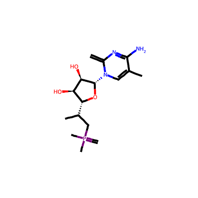 C=C1N=C(N)C(C)=CN1[C@@H]1O[C@H](C(C)CP(=C)(C)C)[C@@H](O)[C@H]1O